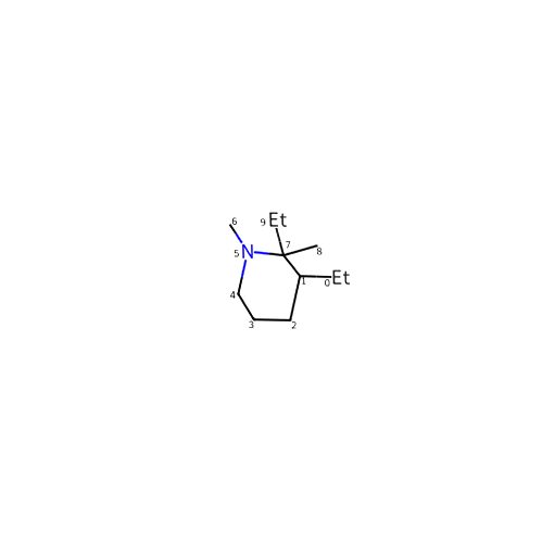 CCC1CCCN(C)C1(C)CC